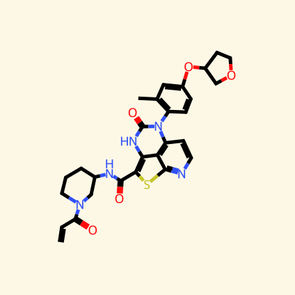 C=CC(=O)N1CCCC(NC(=O)c2sc3nccc4c3c2NC(=O)N4c2ccc(OC3CCOC3)cc2C)C1